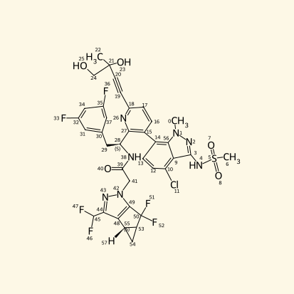 Cn1nc(NS(C)(=O)=O)c2c(Cl)ccc(-c3ccc(C#CC(C)(O)CO)nc3[C@H](Cc3cc(F)cc(F)c3)NC(=O)Cn3nc(C(F)F)c4c3C(F)(F)C3C[C@H]43)c21